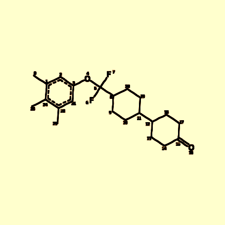 Cc1cc(OC(F)(F)C2CCC(C3CCC(=O)CC3)CC2)cc(C)c1C